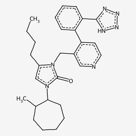 CCCCc1cn(C2CCCCCC2C)c(=O)n1Cc1cnccc1-c1ccccc1-c1nnn[nH]1